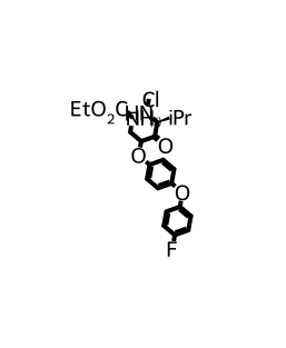 CCOC(=O)NCC(Oc1ccc(Oc2ccc(F)cc2)cc1)C(=O)[C@@H](NCl)C(C)C